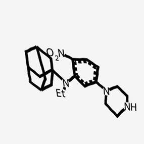 CCN(c1cc(N2CCNCC2)ccc1[N+](=O)[O-])C12CC3CC(CC(C3)C1)C2